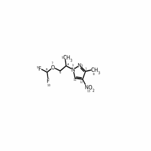 Cc1nn(C(C)COC(F)F)cc1[N+](=O)[O-]